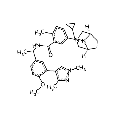 COc1ccc([C@@H](C)NC(=O)c2cc(N3C[C@H]4CC[C@@H](C3)N4CC3CC3)ccc2C)cc1-c1cn(C)nc1C